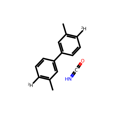 N=C=O.[2H]c1ccc(-c2ccc([2H])c(C)c2)cc1C